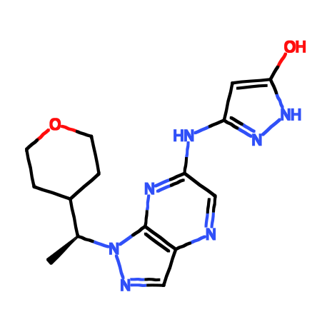 C[C@@H](C1CCOCC1)n1ncc2ncc(Nc3cc(O)[nH]n3)nc21